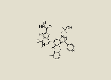 CCNC(=O)c1cc2c(-c3cc4c(nc3Oc3c(C)cccc3C)c(-c3ccncc3)nn4CC(C)(C)O)cn(C)c(=O)c2[nH]1